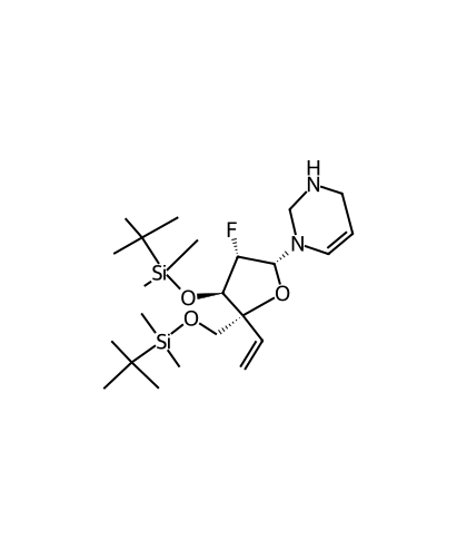 C=C[C@]1(CO[Si](C)(C)C(C)(C)C)O[C@@H](N2C=CCNC2)[C@@H](F)[C@@H]1O[Si](C)(C)C(C)(C)C